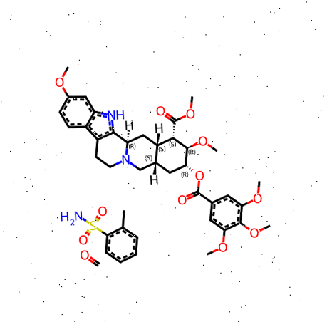 C=O.COC(=O)[C@H]1[C@H]2C[C@@H]3c4[nH]c5cc(OC)ccc5c4CCN3C[C@H]2C[C@@H](OC(=O)c2cc(OC)c(OC)c(OC)c2)[C@@H]1OC.Cc1ccccc1S(N)(=O)=O